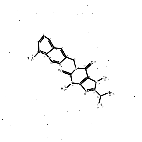 Cc1cccc2cc(Cn3c(=O)c4c(nc(C(C)N)n4C)n(C)c3=O)ccc12